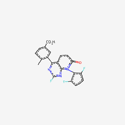 Cc1ccc(C(=O)O)cc1-c1nc(F)nc2c1ccc(=O)n2-c1c(F)cccc1F